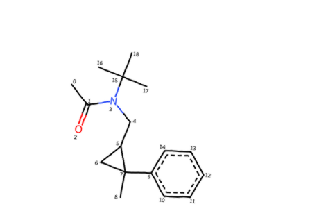 CC(=O)N(CC1CC1(C)c1ccccc1)C(C)(C)C